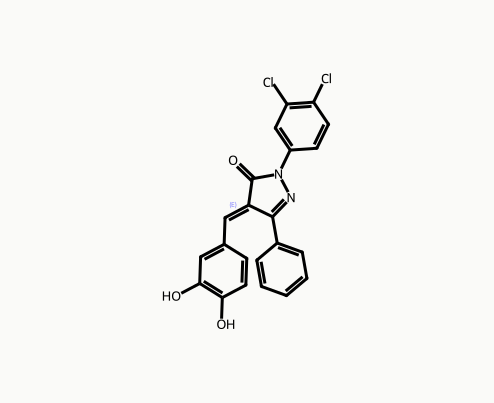 O=C1/C(=C/c2ccc(O)c(O)c2)C(c2ccccc2)=NN1c1ccc(Cl)c(Cl)c1